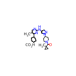 Cc1cnc(Nc2cnn(C3CCN(C(=O)C4(C)CC4)CC3)c2)nc1-c1ccc(C(=O)O)cc1